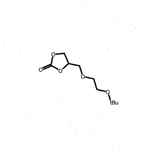 CC(C)(C)OCCOCC1COC(=O)O1